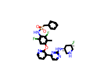 Cc1c(Oc2ncccc2-c2ccnc(N[C@@H]3CNC[C@@H](F)C3)n2)cc(F)c(NS(=O)(=O)Cc2ccccc2)c1F